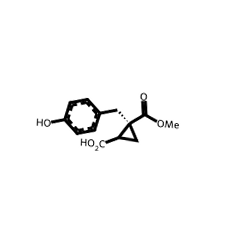 COC(=O)[C@@]1(Cc2ccc(O)cc2)CC1C(=O)O